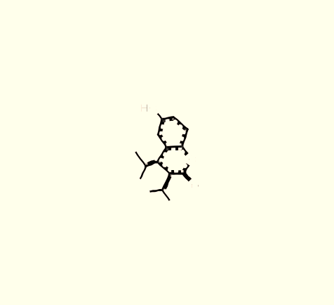 CC(C)=c1c(=O)oc2ccc(O)cc2c1=C(C)C